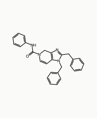 O=C(Nc1ccccc1)N1C=Cc2c(nc(Cc3ccccc3)n2Cc2ccccc2)C1